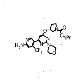 CC(C)OC(=O)N1CC[C@@H](Oc2cc(-c3cnc(N)cc3C(F)(F)F)nc(N3CCOCC3)n2)C1